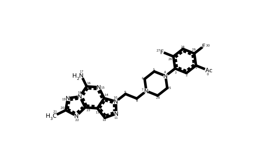 CC(=O)c1cc(N2CCN(CCn3ncc4c3nc(N)n3nc(C)nc43)CC2)c(F)cc1F